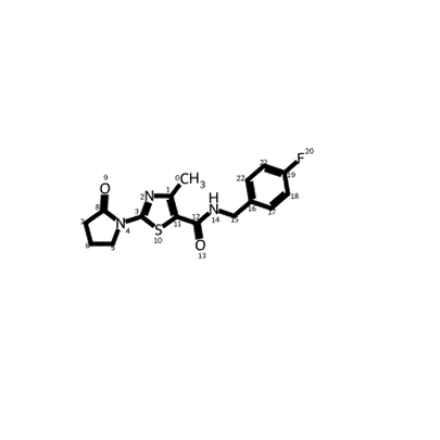 Cc1nc(N2CCCC2=O)sc1C(=O)NCc1ccc(F)cc1